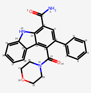 NC(=O)c1cc(-c2ccccc2)c(C(=O)N2CCOCC2)c2c1[nH]c1ccccc12